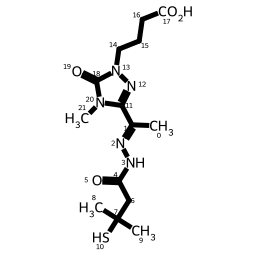 C/C(=N\NC(=O)CC(C)(C)S)c1nn(CCCC(=O)O)c(=O)n1C